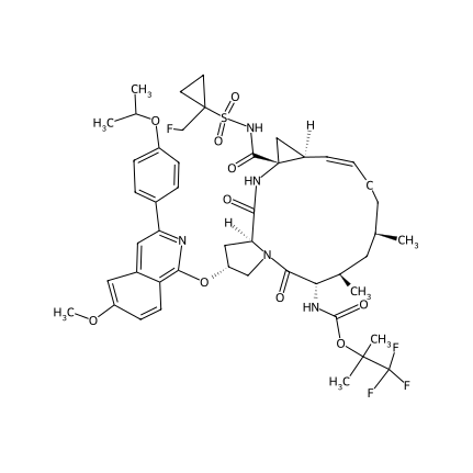 COc1ccc2c(O[C@@H]3C[C@H]4C(=O)N[C@]5(C(=O)NS(=O)(=O)C6(CF)CC6)C[C@H]5/C=C\CC[C@@H](C)C[C@@H](C)[C@H](NC(=O)OC(C)(C)C(F)(F)F)C(=O)N4C3)nc(-c3ccc(OC(C)C)cc3)cc2c1